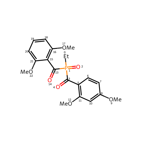 CCP(=O)(C(=O)c1ccc(OC)cc1OC)C(=O)c1c(OC)cccc1OC